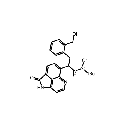 CC(C)(C)[S+]([O-])NC(Cc1ccccc1CO)c1ccc2c3c(ccnc13)NC2=O